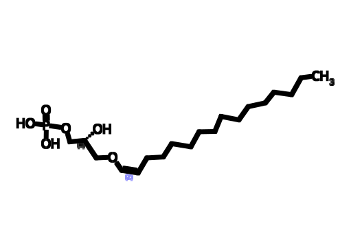 CCCCCCCCCCCCCC/C=C\OC[C@@H](O)COP(=O)(O)O